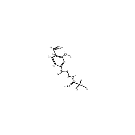 COc1cc(N(C)CCOC(=O)C(C)(C)C)ccc1C=O